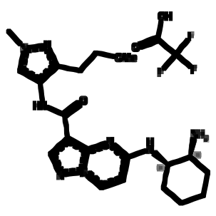 COCCc1nn(C)cc1NC(=O)c1cnn2ccc(N[C@@H]3CCCC[C@@H]3N)nc12.O=C(O)C(F)(F)F